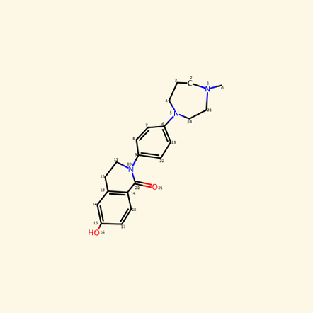 CN1CCCN(c2ccc(N3CCc4cc(O)ccc4C3=O)cc2)CC1